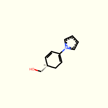 OC[C@@H]1C=CC(n2cccc2)=CC1